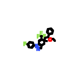 CCOC(CC1(C)Cc2cnn(-c3ccc(F)cc3)c2C=C1C(F)(F)F)c1ccccc1